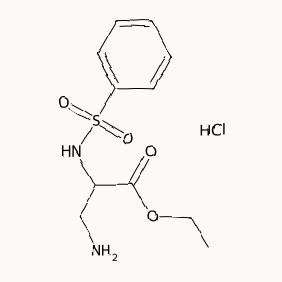 CCOC(=O)C(CN)NS(=O)(=O)c1ccccc1.Cl